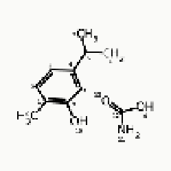 Cc1ccc(C(C)C)cc1O.NC(=O)O